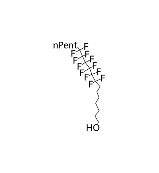 CCCCCC(F)(F)C(F)(F)C(F)(F)C(F)(F)C(F)(F)C(F)(F)CCCCCCCO